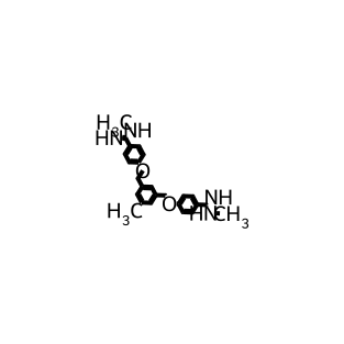 CNC(=N)c1ccc(OCc2cc(C)cc(COc3ccc(C(=N)NC)cc3)c2)cc1